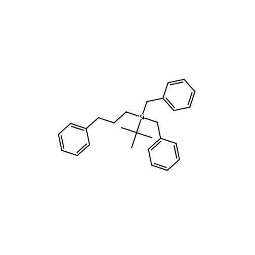 CC(C)(C)[Si](CCCc1ccccc1)(Cc1ccccc1)Cc1ccccc1